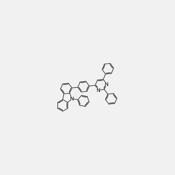 c1ccc(-c2cc(-c3ccc(-c4cccc5c6ccccc6n(-c6ccccc6)c45)cc3)nc(-c3ccccc3)n2)cc1